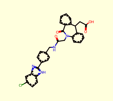 O=C(O)CC1c2ccccc2C(=O)N(CC(=O)NCc2ccc(-c3nc4cc(Cl)ccc4[nH]3)cc2)c2ccccc21